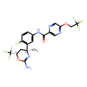 C[C@@]1(c2cc(NC(=O)c3cnc(OCC(F)(F)F)cn3)ccc2F)C[C@@H](C(F)(F)F)OC(N)=N1